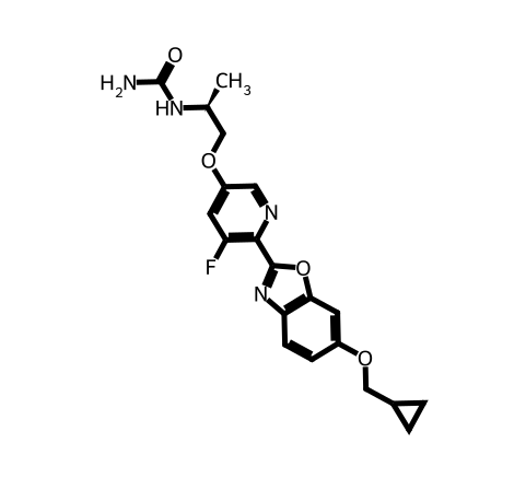 C[C@@H](COc1cnc(-c2nc3ccc(OCC4CC4)cc3o2)c(F)c1)NC(N)=O